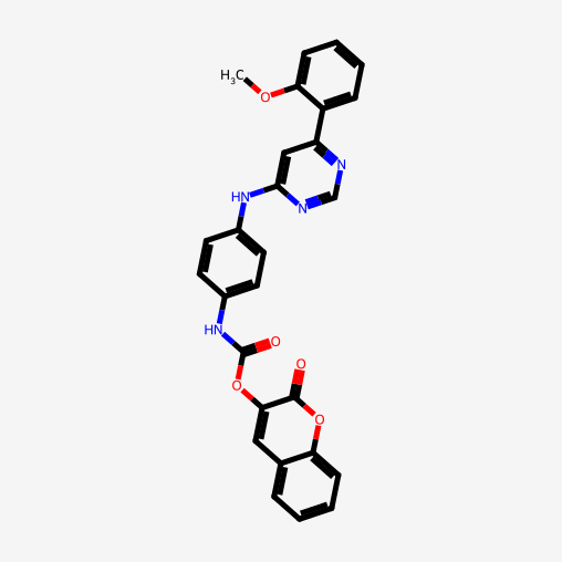 COc1ccccc1-c1cc(Nc2ccc(NC(=O)Oc3cc4ccccc4oc3=O)cc2)ncn1